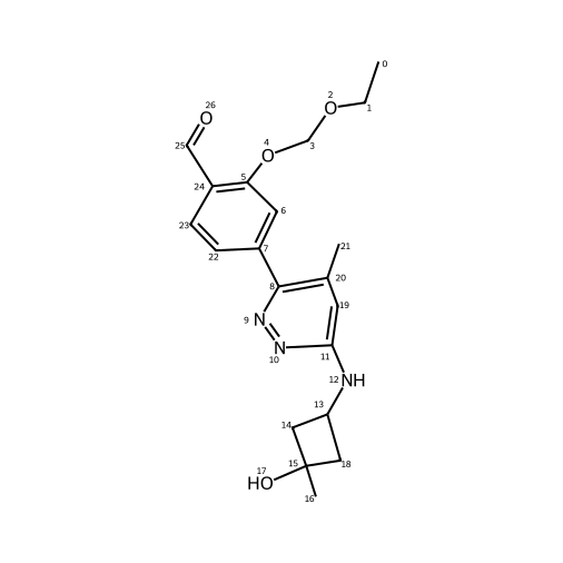 CCOCOc1cc(-c2nnc(NC3CC(C)(O)C3)cc2C)ccc1C=O